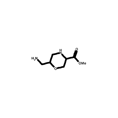 COC(=O)C1COC(CN)CN1